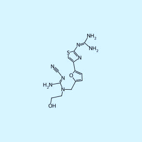 N#CN=C(N)N(CCO)Cc1ccc(-c2csc(N=C(N)N)n2)o1